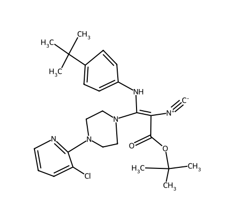 [C-]#[N+]C(C(=O)OC(C)(C)C)=C(Nc1ccc(C(C)(C)C)cc1)N1CCN(c2ncccc2Cl)CC1